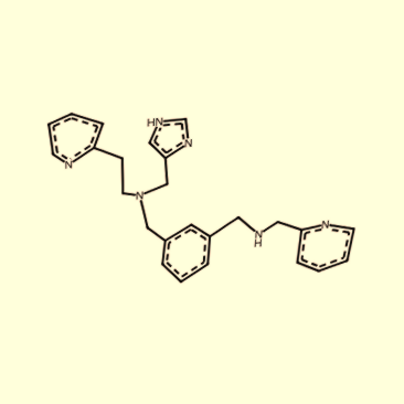 c1ccc(CCN(Cc2cccc(CNCc3ccccn3)c2)Cc2c[nH]cn2)nc1